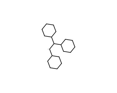 [CH](C1CCCCC1)C(C1CCCCC1)C1CCCCC1